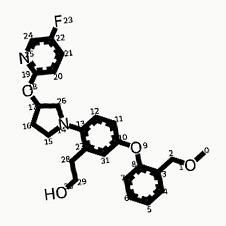 COCc1ccccc1Oc1ccc(N2CCC(Oc3ccc(F)cn3)C2)c(CCO)c1